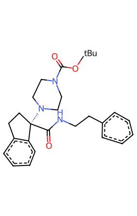 CC(C)(C)OC(=O)N1CCN([C@@]2(C(=O)NCCc3ccccc3)CCc3ccccc32)CC1